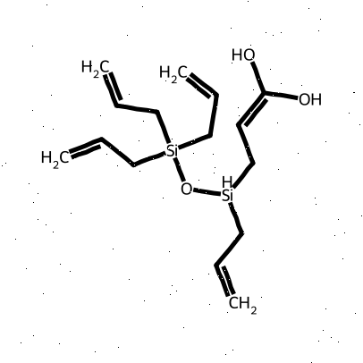 C=CC[SiH](CC=C(O)O)O[Si](CC=C)(CC=C)CC=C